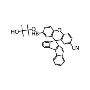 CC(C)(O)C(C)(C)OBc1ccc2c(c1)C1(c3cc(C#N)ccc3O2)c2ccccc2-c2c1ccc1ccccc21